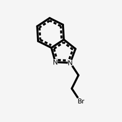 BrCCn1cc2ccccc2n1